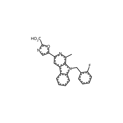 Cc1nc(-c2cnc(C(=O)O)o2)cc2c3ccccc3n(Cc3ccccc3F)c12